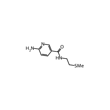 CSCCNC(=O)c1ccc(N)nc1